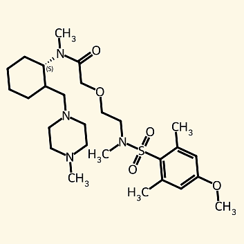 COc1cc(C)c(S(=O)(=O)N(C)CCOCC(=O)N(C)[C@H]2CCCCC2CN2CCN(C)CC2)c(C)c1